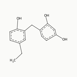 CCc1ccc(O)c(Cc2ccc(O)cc2O)c1